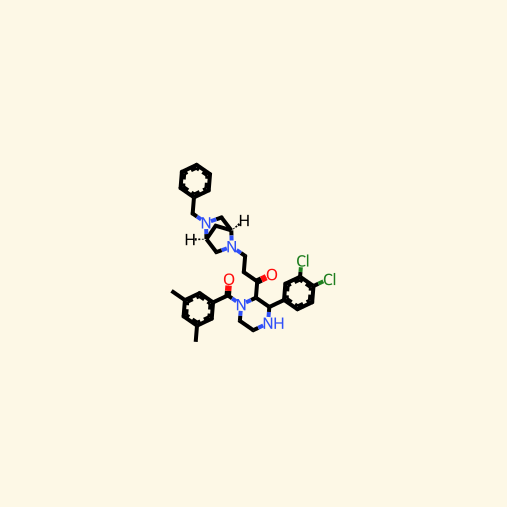 Cc1cc(C)cc(C(=O)N2CCNC(c3ccc(Cl)c(Cl)c3)C2C(=O)CCN2C[C@@H]3C[C@H]2CN3Cc2ccccc2)c1